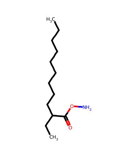 CCCCCCCCCC(CC)C(=O)ON